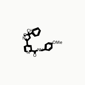 COc1ccc(CNC(=O)c2cc(C3=NOC(C)(c4ccccc4)C3)ccn2)cc1